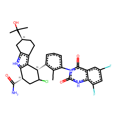 Cc1c([C@H]2c3c([nH]c4c3CC[C@H](C(C)(C)O)C4)[C@@H](C(N)=O)CC2Cl)cccc1-n1c(=O)[nH]c2c(F)cc(F)cc2c1=O